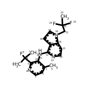 Cc1ccnc(C(C)(C)F)c1Nc1nccc2c1ccn2CC(C)(F)F